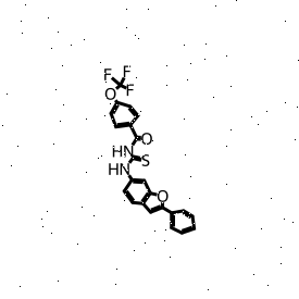 O=C(NC(=S)Nc1ccc2cc(-c3ccccc3)oc2c1)c1ccc(OC(F)(F)F)cc1